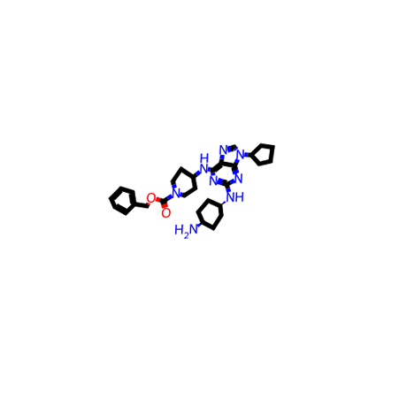 N[C@H]1CC[C@H](Nc2nc(NC3CCN(C(=O)OCc4ccccc4)CC3)c3ncn(C4CCCC4)c3n2)CC1